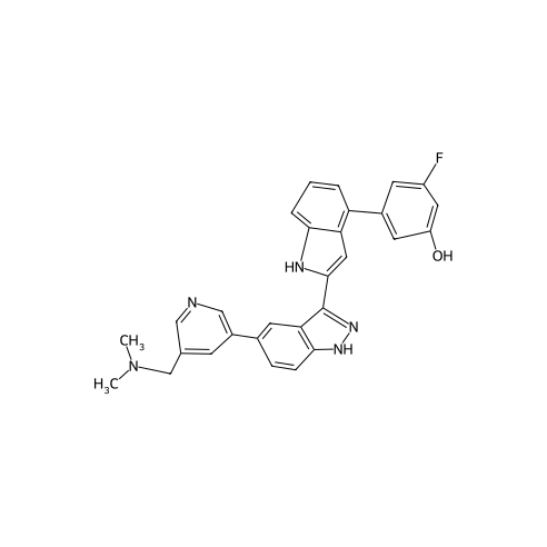 CN(C)Cc1cncc(-c2ccc3[nH]nc(-c4cc5c(-c6cc(O)cc(F)c6)cccc5[nH]4)c3c2)c1